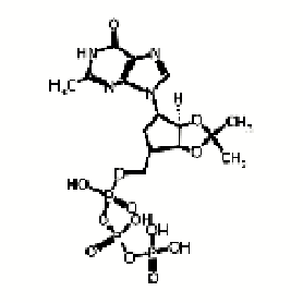 Cc1nc2c(ncn2[C@@H]2C[C@H](COP(=O)(O)OP(=O)(O)OP(=O)(O)O)C3OC(C)(C)O[C@@H]32)c(=O)[nH]1